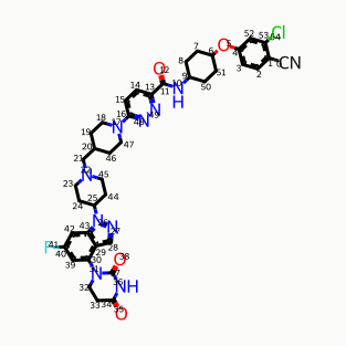 N#Cc1ccc(OC2CCC(NC(=O)c3ccc(N4CCC(CN5CCC(n6ncc7c(N8CCC(=O)NC8=O)cc(F)cc76)CC5)CC4)nn3)CC2)cc1Cl